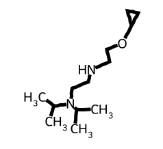 CC(C)N(CCNCCOC1CC1)C(C)C